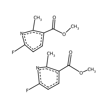 COC(=O)c1ccc(F)nc1C.COC(=O)c1ccc(F)nc1C